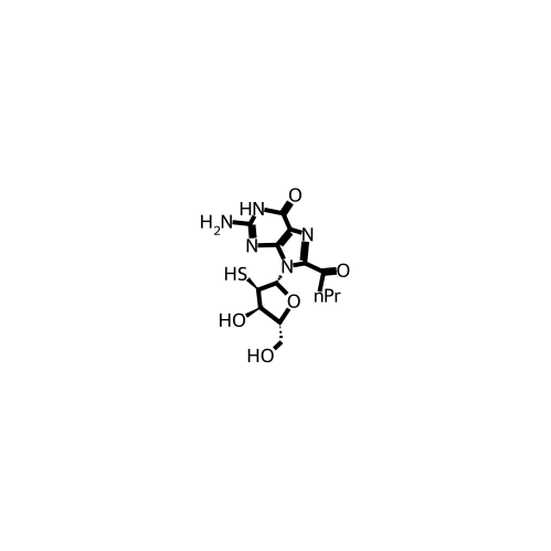 CCCC(=O)c1nc2c(=O)[nH]c(N)nc2n1[C@@H]1O[C@H](CO)[C@@H](O)[C@H]1S